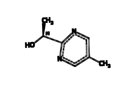 Cc1cnc([C@H](C)O)nc1